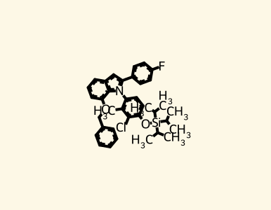 Cc1c(-n2c(-c3ccc(F)cc3)cc3cccc(OCc4ccccc4)c32)ccc(O[Si](C(C)C)(C(C)C)C(C)C)c1Cl